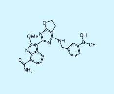 COc1nc2c(C(N)=O)cccc2n1-c1nc(NCc2cccc(B(O)O)c2)c2c(n1)OCC2